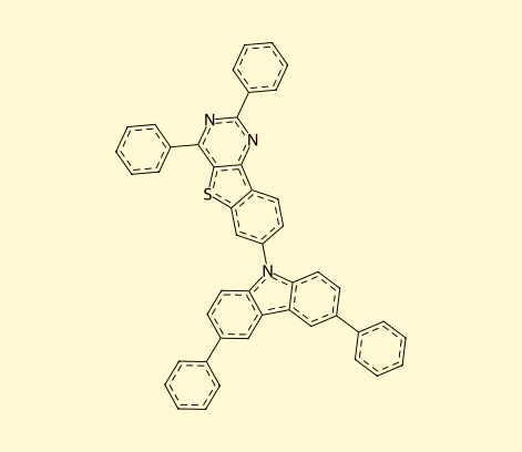 c1ccc(-c2ccc3c(c2)c2cc(-c4ccccc4)ccc2n3-c2ccc3c(c2)sc2c(-c4ccccc4)nc(-c4ccccc4)nc23)cc1